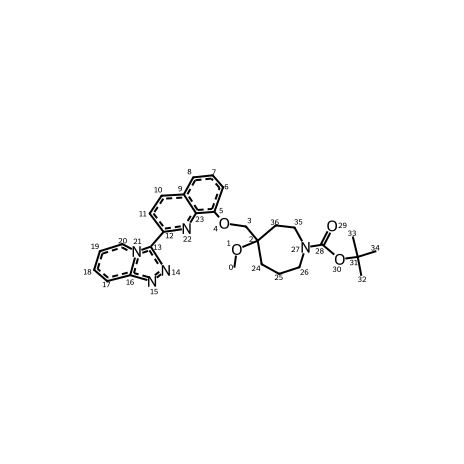 COC1(COc2cccc3ccc(-c4nnc5ccccn45)nc23)CCCN(C(=O)OC(C)(C)C)CC1